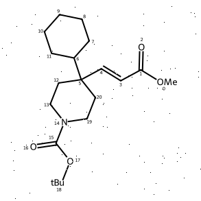 COC(=O)C=CC1(C2CCCCC2)CCN(C(=O)OC(C)(C)C)CC1